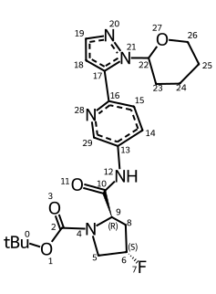 CC(C)(C)OC(=O)N1C[C@@H](F)C[C@@H]1C(=O)Nc1ccc(-c2ccnn2C2CCCCO2)nc1